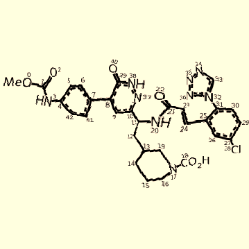 COC(=O)Nc1ccc(-c2cc([C@H](CC3CCCN(C(=O)O)C3)NC(=O)/C=C/c3cc(Cl)ccc3-n3cnnn3)n[nH]c2=O)cc1